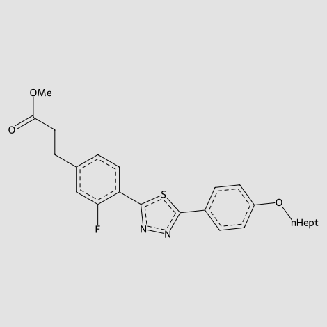 CCCCCCCOc1ccc(-c2nnc(-c3ccc(CCC(=O)OC)cc3F)s2)cc1